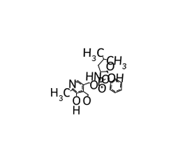 Cc1ncc(COP(=O)(NC(CC(C)C)C(=O)O)Oc2ccccc2)c(C=O)c1O